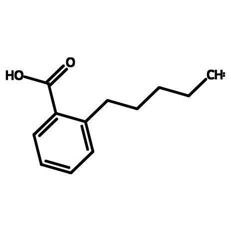 [CH]CCCCc1ccccc1C(=O)O